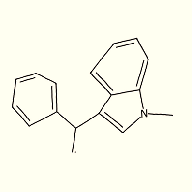 [CH2]C(c1ccccc1)c1cn(C)c2ccccc12